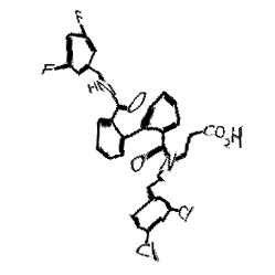 O=C(O)CCN(CCc1ccc(Cl)cc1Cl)C(=O)c1ccccc1-c1ccccc1C(=O)NCc1cc(F)cc(F)c1